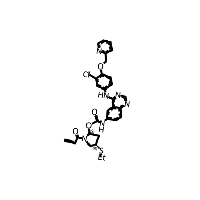 C=CC(=O)N1C[C@H](SCC)C[C@@H]1OC(=O)Nc1ccc2ncnc(Nc3ccc(OCc4ccccn4)c(Cl)c3)c2c1